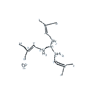 CC(C)=C[SiH2][Al]([SiH2]C=C(C)C)[SiH2]C=C(C)C.[O-2]